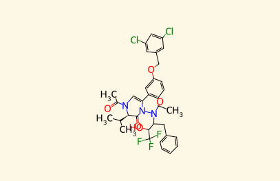 CC(=O)N1C=C(c2cccc(OCc3cc(Cl)cc(Cl)c3)c2)N(N(C(C)=O)C(Cc2ccccc2)C(O)C(F)(F)F)C(=O)[C@H]1C(C)C